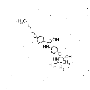 CCCCCCOc1ccc(C(=O)Nc2ccc(OC(NC(C)C)C(C)O)cc2)cc1.Cl